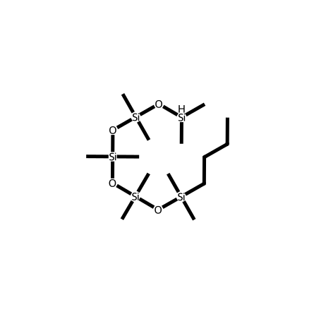 CCCC[Si](C)(C)O[Si](C)(C)O[Si](C)(C)O[Si](C)(C)O[SiH](C)C